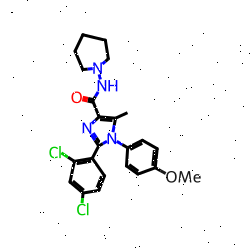 COc1ccc(-n2c(-c3ccc(Cl)cc3Cl)nc(C(=O)NN3CCCCC3)c2C)cc1